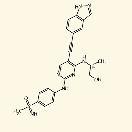 C[C@H](CO)Nc1nc(Nc2ccc(S(C)(=N)=O)cc2)ncc1C#Cc1ccc2[nH]ncc2c1